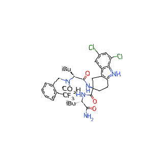 CCC(C)[C@H](NC(=O)[C@@]1(NC(=O)[C@H](C(C)CC)N(Cc2ccccc2C(F)(F)F)C(=O)O)CCc2[nH]c3c(Cl)cc(Cl)cc3c2C1)C(N)=O